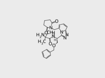 CC(C)(N)C(=O)N[C@H](COCc1ccccc1)c1nnc2cccc(CN3C(=O)CCCC3=O)n12